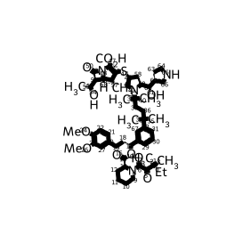 CCC(C)(C)C(=O)C(=O)N1CCCC[C@H]1C(=O)O[C@H](CCc1ccc(OC)c(OC)c1)c1cccc(C(C)(C)CCC(C)(C)N2C[C@@H](SC3=C(C(=O)O)N4C(=O)[C@H]([C@@H](C)O)[C@H]4[C@H]3C)C[C@H]2[C@H](O)[C@@H]2CCNC2)c1